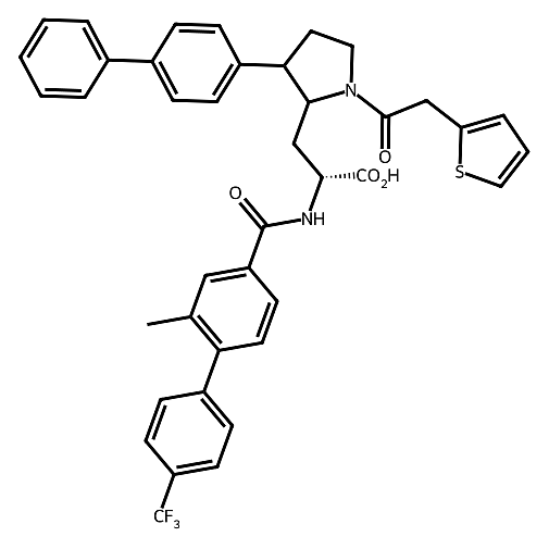 Cc1cc(C(=O)N[C@H](CC2C(c3ccc(-c4ccccc4)cc3)CCN2C(=O)Cc2cccs2)C(=O)O)ccc1-c1ccc(C(F)(F)F)cc1